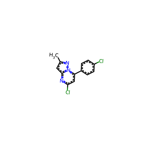 Cc1cc2nc(Cl)cc(-c3ccc(Cl)cc3)n2n1